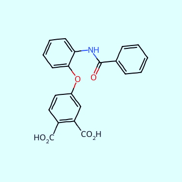 O=C(Nc1ccccc1Oc1ccc(C(=O)O)c(C(=O)O)c1)c1ccccc1